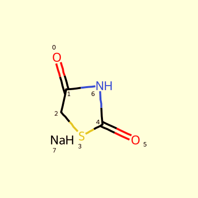 O=C1CSC(=O)N1.[NaH]